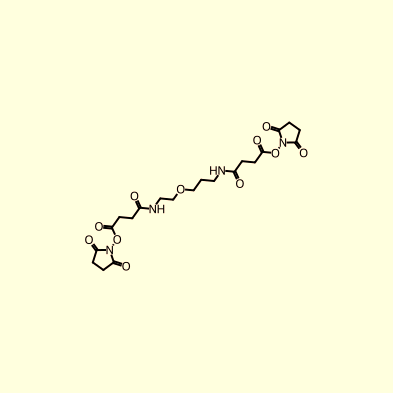 O=C(CCC(=O)ON1C(=O)CCC1=O)NCCCOCCNC(=O)CCC(=O)ON1C(=O)CCC1=O